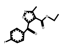 CCOC(=O)c1c(C)noc1C(=O)c1ccc(F)cc1